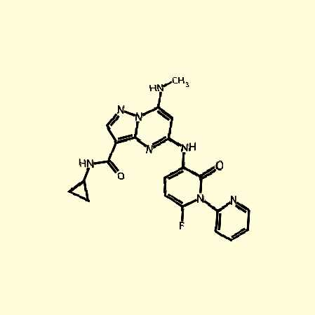 CNc1cc(Nc2ccc(F)n(-c3ccccn3)c2=O)nc2c(C(=O)NC3CC3)cnn12